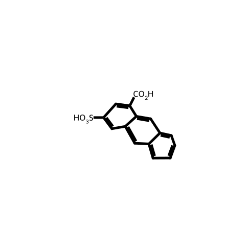 O=C(O)c1cc(S(=O)(=O)O)cc2cc3ccccc3cc12